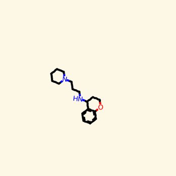 c1ccc2c(c1)OCCC2NCCCN1CCCCC1